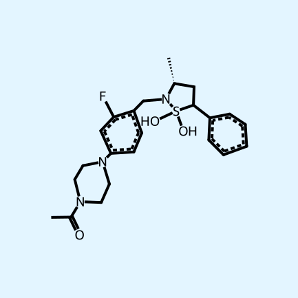 CC(=O)N1CCN(c2ccc(CN3[C@H](C)CC(c4ccccc4)S3(O)O)c(F)c2)CC1